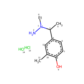 CCN(N)C(C)c1ccc(O)c(C)c1.Cl.Cl